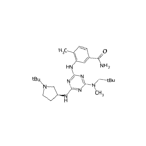 Cc1ccc(C(N)=O)cc1Nc1nc(N[C@H]2CCN(C(C)(C)C)C2)nc(N(C)CC(C)(C)C)n1